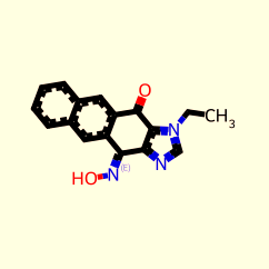 CCn1cnc2c1C(=O)c1cc3ccccc3cc1/C2=N\O